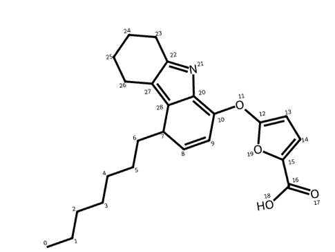 CCCCCCCC1C=CC(Oc2ccc(C(=O)O)o2)=C2N=C3CCCCC3=C21